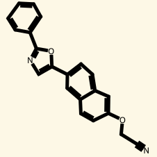 N#CCOc1ccc2cc(-c3cnc(-c4ccccc4)o3)ccc2c1